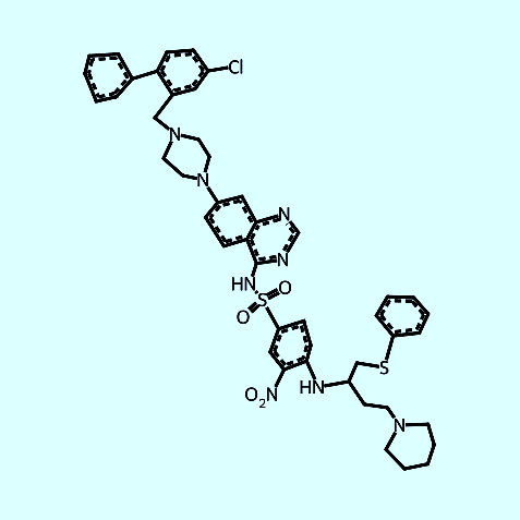 O=[N+]([O-])c1cc(S(=O)(=O)Nc2ncnc3cc(N4CCN(Cc5cc(Cl)ccc5-c5ccccc5)CC4)ccc23)ccc1NC(CCN1CCCCC1)CSc1ccccc1